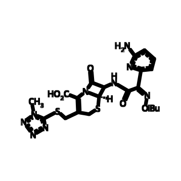 CC(C)CO/N=C(\C(=O)NC1C(=O)N2C(C(=O)O)=C(CSc3nnnn3C)CS[C@H]12)c1cccc(N)n1